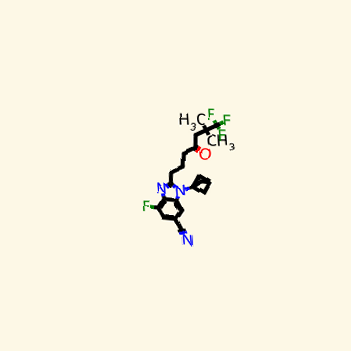 CC(C)(CC(=O)CCCc1nc2c(F)cc(C#N)cc2n1C12CC(C1)C2)C(F)(F)F